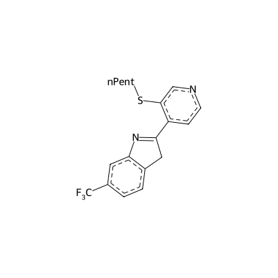 CCCCCSc1cnccc1C1=Nc2cc(C(F)(F)F)ccc2C1